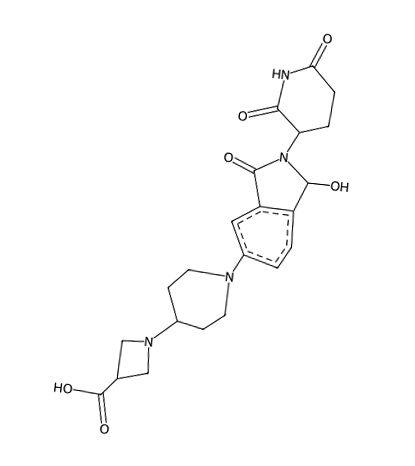 O=C1CCC(N2C(=O)c3cc(N4CCC(N5CC(C(=O)O)C5)CC4)ccc3C2O)C(=O)N1